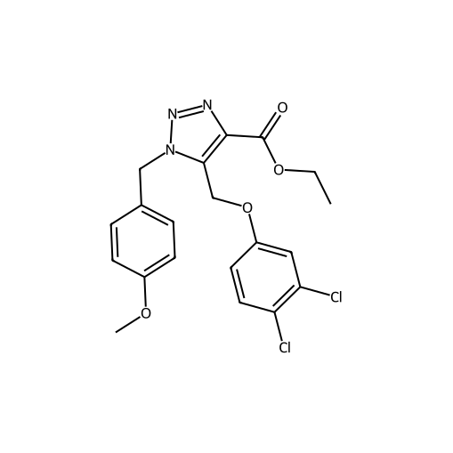 CCOC(=O)c1nnn(Cc2ccc(OC)cc2)c1COc1ccc(Cl)c(Cl)c1